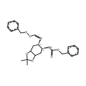 CC1(C)OC2C[C@H](NC(=O)OCc3ccccc3)[C@H](/N=C\OOCc3ccccc3)CC2O1